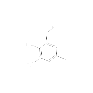 CCOc1nc(Br)c[n+](N)c1N